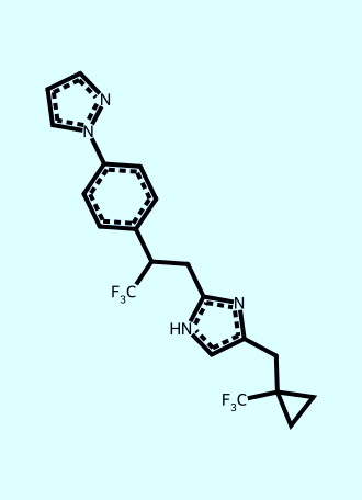 FC(F)(F)C(Cc1nc(CC2(C(F)(F)F)CC2)c[nH]1)c1ccc(-n2cccn2)cc1